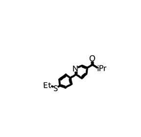 CCSc1ccc(-c2ccc(C(=O)C(C)C)cn2)cc1